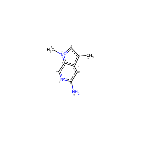 Cc1cn(C)c2cnc(N)cc12